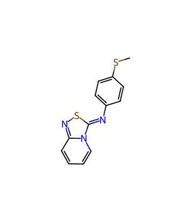 CSc1ccc(N=c2snc3ccccn23)cc1